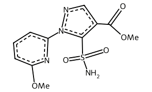 COC(=O)c1cnn(-c2cccc(OC)n2)c1S(N)(=O)=O